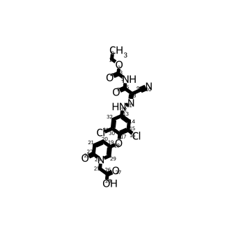 CCOC(=O)NC(=O)C(C#N)=NNc1cc(Cl)c(Oc2ccc(=O)n(CC(=O)O)c2)c(Cl)c1